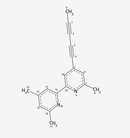 CC#CC#Cc1cc(C)nc(-c2cc(C)cc(C)n2)c1